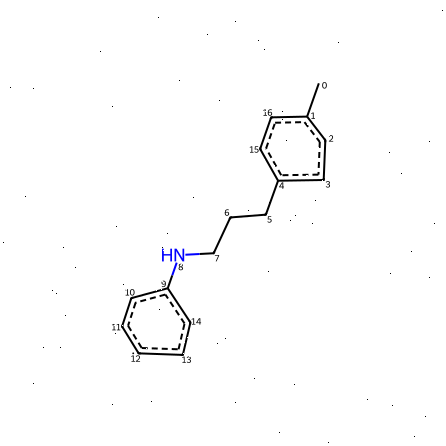 Cc1ccc(CCCNc2cc[c]cc2)cc1